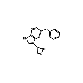 c1ccc(Sc2cnc3[nH]cc(-c4c[nH][nH]4)c3c2)cc1